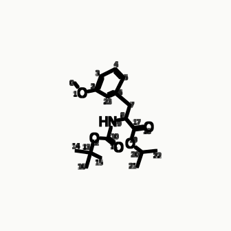 COc1cccc(CC(NC(=O)OC(C)(C)C)C(=O)OC(C)C)c1